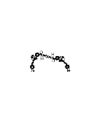 CN(C)c1ccc(/C=C/C=C/C23OCCN2c2ccc(C(=O)NCCSSCCNC(=O)c4ccc5c(c4)C(C)(C)C4(/C=C/C=C/c6ccc(N(C)C)cc6)OCCN54)cc2C3(C)C)cc1